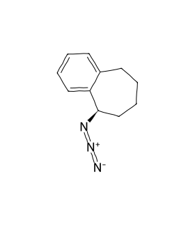 [N-]=[N+]=N[C@@H]1CCCCc2ccccc21